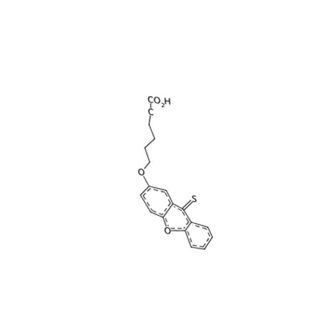 O=C(O)CCCCCOc1ccc2oc3ccccc3c(=S)c2c1